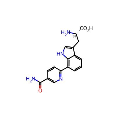 NC(=O)c1ccc(-c2cccc3c(C[C@H](N)C(=O)O)c[nH]c23)nc1